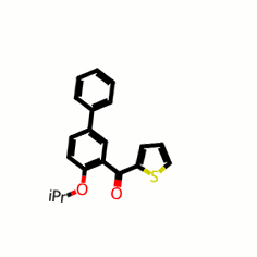 [CH2]C(C)Oc1ccc(-c2ccccc2)cc1C(=O)c1cccs1